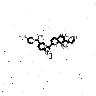 Cc1c(C2(C)C=CNN2C)ccc2ccc(-c3nnc4ccc([C@@H](N5CC[C@H](N)C5)C(F)(F)F)cn34)nc12.Cl.Cl